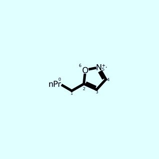 CCCCC1=CC=[N+]O1